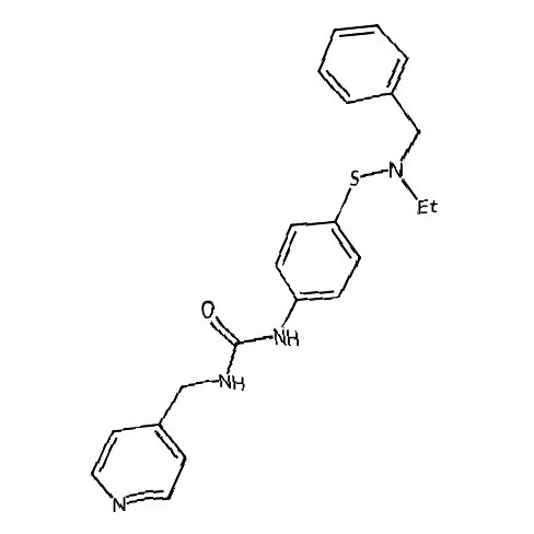 CCN(Cc1ccccc1)Sc1ccc(NC(=O)NCc2ccncc2)cc1